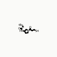 CC(C)(C)OC(=O)NC1CCN(C(=O)CCS)C1